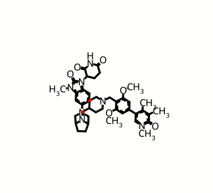 COc1cc(-c2cn(C)c(=O)c(C)c2C)cc(OC)c1CN1CCC(CN2C3CCC2CN(c2ccc4c(c2)n(C)c(=O)n4C2CCC(=O)NC2=O)C3)CC1